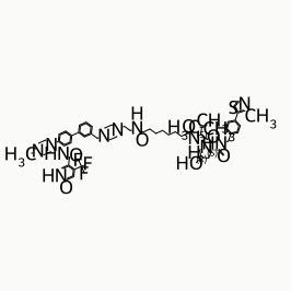 Cc1ncsc1-c1ccc(CNC(=O)[C@@H]2C[C@@H](O)CN2C(=O)[C@@H](NC(=O)CCCCCCC(=O)NCCN2CCN(Cc3cccc(-c4ccc(N5CCN(C)CC5)c(NC(=O)c5c[nH]c(=O)cc5C(F)(F)F)c4)c3)CC2)C(C)(C)C)cc1